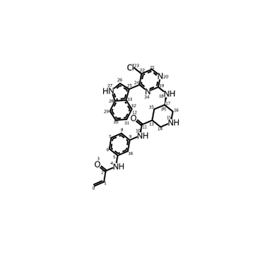 C=CC(=O)Nc1cccc(NC(=O)C2CNC[C@H](Nc3ncc(Cl)c(-c4c[nH]c5ccccc45)n3)C2)c1